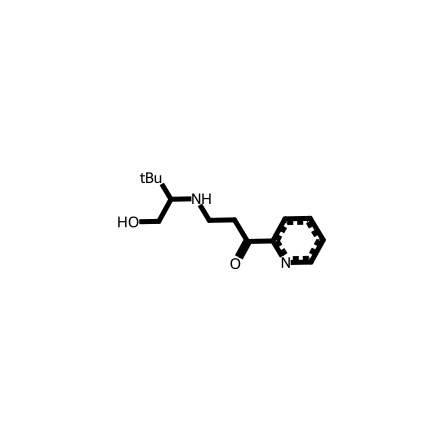 CC(C)(C)C(CO)NCCC(=O)c1ccccn1